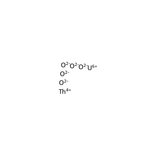 [O-2].[O-2].[O-2].[O-2].[O-2].[Th+4].[U+6]